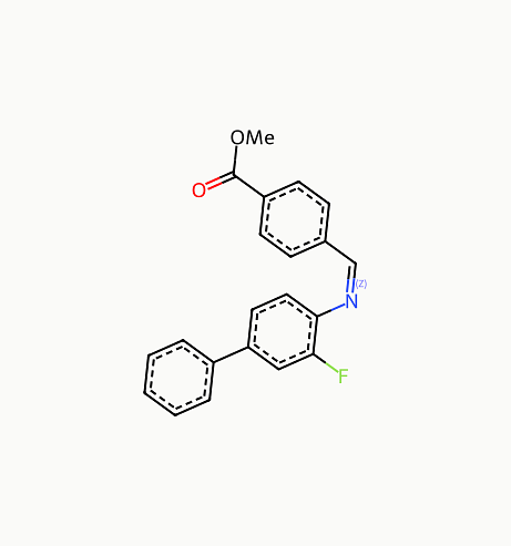 COC(=O)c1ccc(/C=N\c2ccc(-c3ccccc3)cc2F)cc1